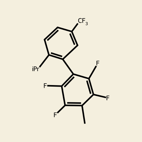 Cc1c(F)c(F)c(-c2cc(C(F)(F)F)ccc2C(C)C)c(F)c1F